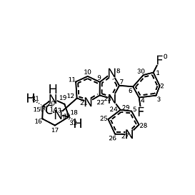 Fc1ccc(F)c(-c2nc3ccc(N4C[C@H]5CC[C@@H]4CN5)nc3n2-c2ccncc2)c1